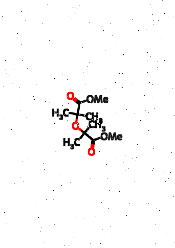 COC(=O)C(C)(C)OC(C)(C)C(=O)OC